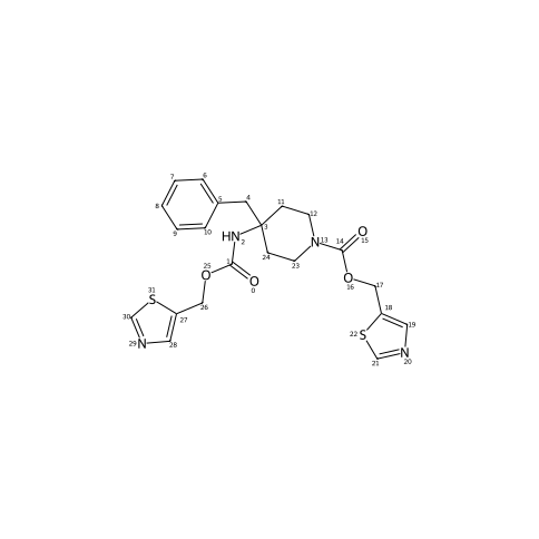 O=C(NC1(Cc2ccccc2)CCN(C(=O)OCc2cncs2)CC1)OCc1cncs1